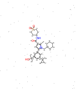 Cc1c(C(=O)NC2CCS(=O)(=O)CC2)cc(-c2cc(C(C)(C)O)cc(C3(C)CC3)c2)n1CC1CCCCC1